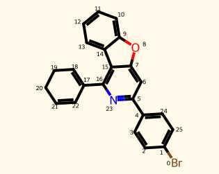 Brc1ccc(-c2cc3oc4ccccc4c3c(C3=CCCC=C3)n2)cc1